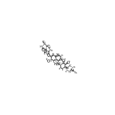 COc1cc2c(Nc3ccc(N4CCN(C)CC4)c(Cl)c3Cl)ncnc2cc1O[C@@H]1COC2[C@H](F)CO[C@H]21